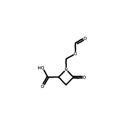 O=COCN1C(=O)CC1C(=O)O